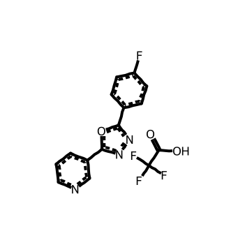 Fc1ccc(-c2nnc(-c3cccnc3)o2)cc1.O=C(O)C(F)(F)F